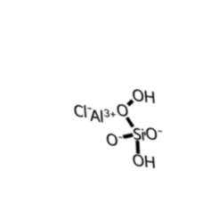 [Al+3].[Cl-].[O-][Si]([O-])(O)OO